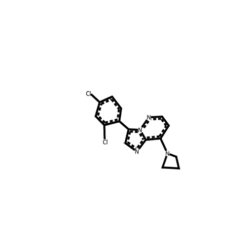 Clc1ccc(-c2[c]nc3c(N4CCC4)ccnn23)c(Cl)c1